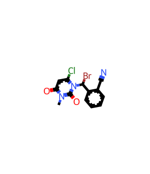 Cn1c(=O)cc(Cl)n(C(Br)c2ccccc2C#N)c1=O